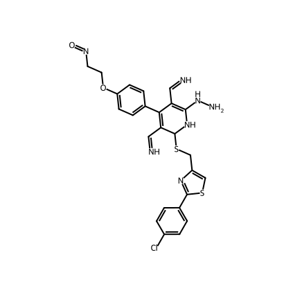 N=CC1=C(NN)NC(SCc2csc(-c3ccc(Cl)cc3)n2)C(C=N)=C1c1ccc(OCCN=O)cc1